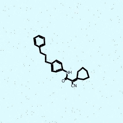 N#CC(C(=O)Nc1ccc(CCCc2ccccc2)cc1)=C1CCCCC1